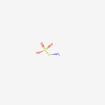 NSS(=O)(=O)O